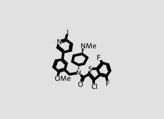 CN[C@H]1CC[C@H](N(Cc2cc(-c3ccc(I)nc3)ccc2OC)C(=O)c2sc3c(F)ccc(F)c3c2Cl)CC1